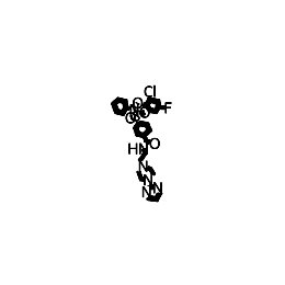 O=C(NCCN1CCN(c2ncccn2)CC1)c1ccc(S(=O)(=O)N(Oc2ccc(F)cc2Cl)c2ccccc2)cc1